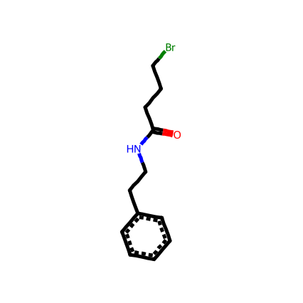 O=C(CCCBr)NCCc1ccccc1